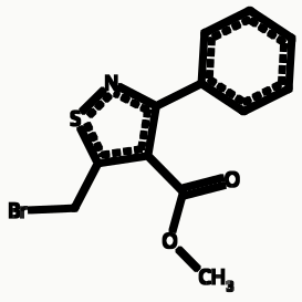 COC(=O)c1c(-c2ccccc2)nsc1CBr